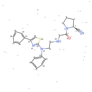 N#C[C@@H]1CCCN1C(=O)CNCCN(c1ccccc1)c1nc(-c2ccccc2)cs1